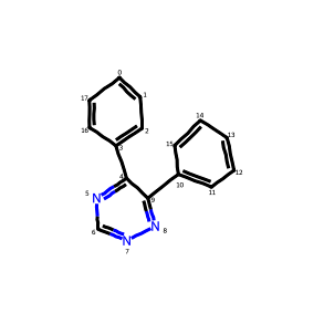 c1ccc(-c2ncnnc2-c2ccccc2)cc1